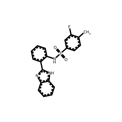 Cc1ccc(S(=O)(=O)Nc2ccccc2-c2nc3ccccc3[nH]2)cc1F